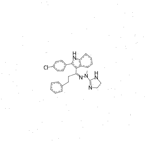 CN(/N=C(/CCc1ccccc1)c1c(-c2ccc(Cl)cc2)[nH]c2ccccc12)C1=NCCN1